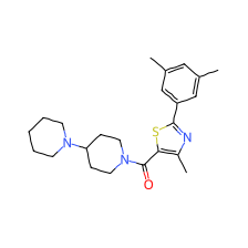 Cc1cc(C)cc(-c2nc(C)c(C(=O)N3CCC(N4CCCCC4)CC3)s2)c1